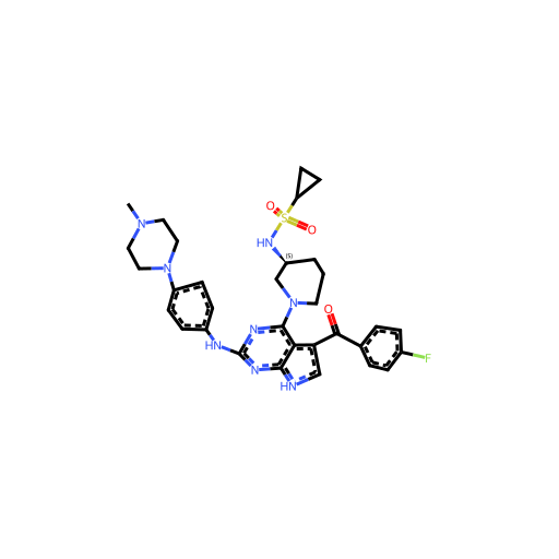 CN1CCN(c2ccc(Nc3nc(N4CCC[C@H](NS(=O)(=O)C5CC5)C4)c4c(C(=O)c5ccc(F)cc5)c[nH]c4n3)cc2)CC1